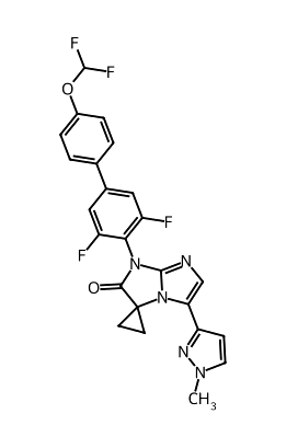 Cn1ccc(-c2cnc3n2C2(CC2)C(=O)N3c2c(F)cc(-c3ccc(OC(F)F)cc3)cc2F)n1